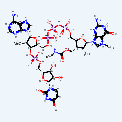 CCCNC(=O)OC[C@H]1[C@@H](O)[C@H](n2c[n+](C)c3c(=O)[nH]c(N)nc32)O[C@@H]1COP(=O)(O)OP(=O)(O)OP(=O)(O)OC[C@H]1O[C@@H](n2cnc3c(N)ncnc32)[C@H](OC)[C@@H]1OP(=O)([O-])OC[C@H]1O[C@@H](n2ccc(=O)[nH]c2=O)[C@H](O)[C@@H]1O